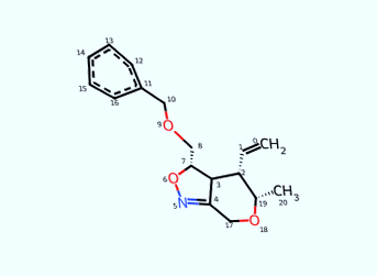 C=C[C@H]1C2C(=NO[C@@H]2COCc2ccccc2)CO[C@H]1C